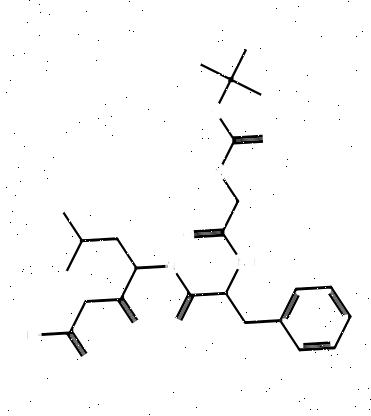 CC(C)CC(NC(=O)C(Cc1ccccc1)NC(=O)CNC(=O)OC(C)(C)C)C(=O)CC(=O)O